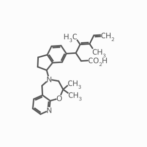 C=C/C(C)=C(\C)C(CC(=O)O)c1ccc2c(c1)C(N1Cc3cccnc3OC(C)(C)C1)CC2